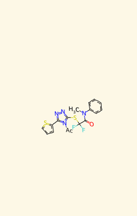 CC(=O)n1c(SC(F)(F)C(=O)N(C)c2ccccc2)nnc1-c1cccs1